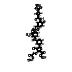 CC(C)(C)OC(=O)COc1c(C(=O)OC(C)(C)C)sc(-c2cccc(NC3CCN(S(=O)(=O)Cc4ccc(F)c(NC(=O)C5CN(C(=O)OC(C)(C)C)C5)c4)C(C)(C)C3)c2)c1Cl